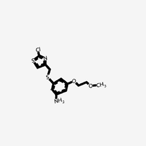 COCCOc1cc(N)[c]c(SCc2csc(Cl)n2)c1